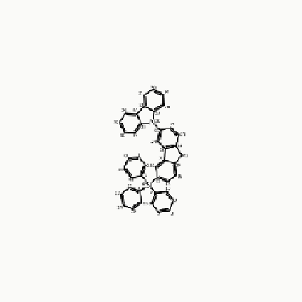 c1ccc([Si](c2ccccc2)(c2ccccc2)c2ccc3c(c2)-c2cc(-n4c5ccccc5c5ccccc54)ccc2C3)cc1